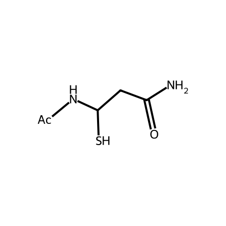 CC(=O)NC(S)CC(N)=O